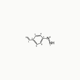 C=Cc1ccc(N=N)cc1